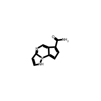 NC(=O)c1ccc2n3[nH]ccc3ncc1-2